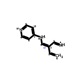 C=C/C(C=N)=C/Nc1ccncc1